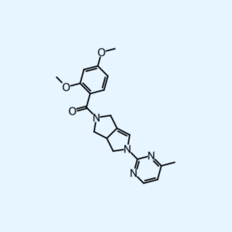 COc1ccc(C(=O)N2CC3=CN(c4nccc(C)n4)CC3C2)c(OC)c1